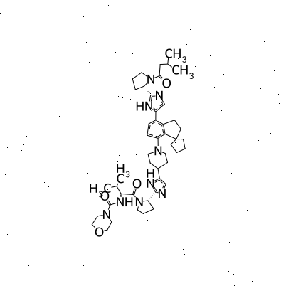 CC(C)CC(=O)N1CCC[C@H]1c1ncc(-c2ccc(N3CCC(c4cnc([C@@H]5CCCN5C(=O)[C@@H](NC(=O)N5CCOCC5)C(C)C)[nH]4)CC3)c3c2CCC32CCCC2)[nH]1